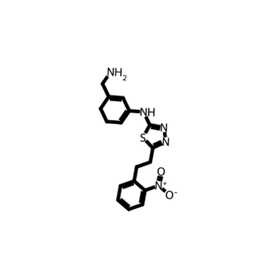 NCC1=CC(Nc2nnc(CCc3ccccc3[N+](=O)[O-])s2)=CCC1